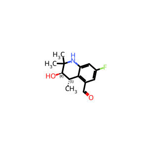 C[C@H]1c2c(C=O)cc(F)cc2NC(C)(C)[C@@H]1O